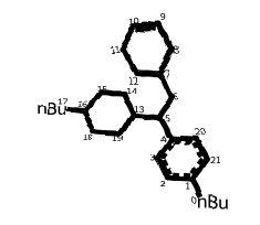 CCCCc1ccc(C(CC2CC=CCC2)C2CCC(CCCC)CC2)cc1